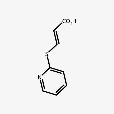 O=C(O)C=CSc1ccccn1